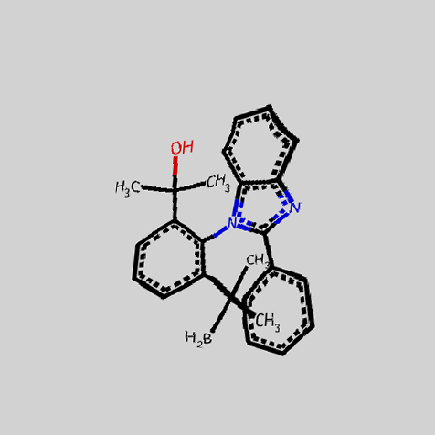 BC(C)(C)c1cccc(C(C)(C)O)c1-n1c(-c2ccccc2)nc2ccccc21